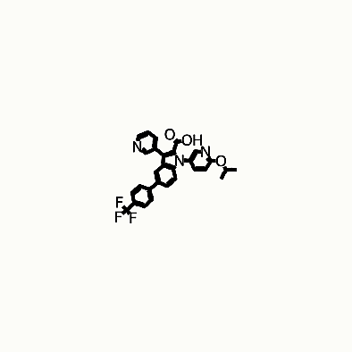 CC(C)Oc1ccc(-n2c(C(=O)O)c(-c3cccnc3)c3cc(-c4ccc(C(F)(F)F)cc4)ccc32)cn1